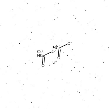 [Cs+].[Li+].[O]=[GeH][O-].[O]=[GeH][O-]